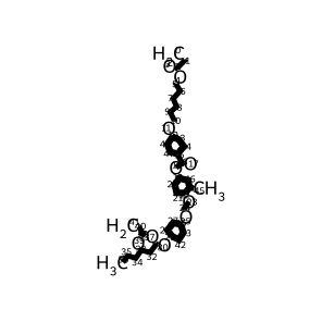 C=CC(=O)OCCCCCCOc1ccc(C(=O)Oc2ccc(OCOc3ccc(OC(CCCCC)OC(=O)C=C)cc3)c(C)c2)cc1